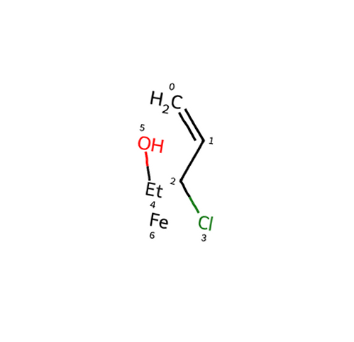 C=CCCl.CCO.[Fe]